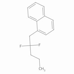 CCCC(F)(F)Cc1cccc2ccccc12